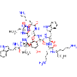 NCCCC[C@H](NC(=O)[C@H](CCCCN)NC(=O)[C@H](Cc1c[nH]c2ccccc12)NC(=O)[C@H](CCC(=O)O)NC(=O)[C@H](CC(N)=O)NC(=O)[C@H](CCCCN)NC(=O)[C@H](CC(=O)O)NC(=O)[C@H](Cc1ccc(O)cc1)NC(=O)[C@H](CC(=O)O)NC(=O)[C@@H](N)Cc1c[nH]c2ccccc12)C(=O)O